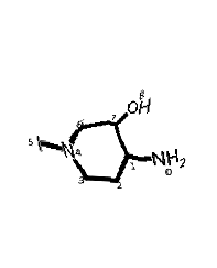 NC1CCN(I)CC1O